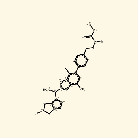 Cc1c(-c2ccc(CCN(C)C(=O)OC(C)(C)C)cc2)cc(C(F)(F)F)c2cn(C(C(=O)O)c3ncn4c3C[C@@H](F)C4)nc12